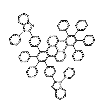 c1ccc(-c2c(-c3ccccc3)c(-c3ccccc3)c3c4cccc5c6c(-c7ccc(-c8nc9ccccc9n8-c8ccccc8)cc7)c(-c7ccccc7)c(-c7ccccc7)c(-c7ccc(-c8nc9ccccc9n8-c8ccccc8)cc7)c6c6cccc(c3c2-c2ccccc2)c6c45)cc1